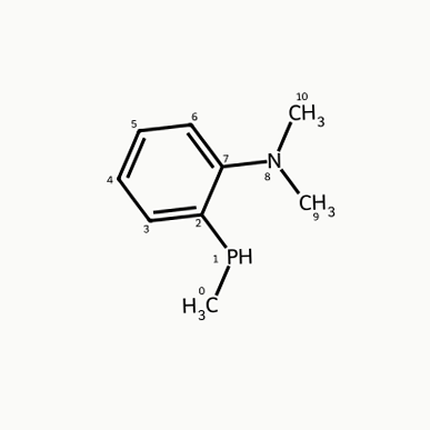 CPc1ccccc1N(C)C